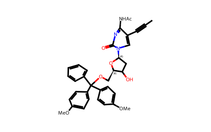 CC#Cc1cn([C@H]2CC(O)[C@@H](COC(c3ccccc3)(c3ccc(OC)cc3)c3ccc(OC)cc3)O2)c(=O)nc1NC(C)=O